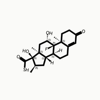 C[C@@H]1C[C@H]2[C@@H]3CCC4=CC(=O)CC[C@]4(C)[C@@]3(F)[C@@H](O)C[C@]2(C)[C@@]1(O)C(=O)S